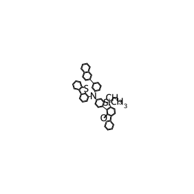 C[Si]1(C)c2cc(N(c3cccc(-c4ccc5ccccc5c4)c3)c3cccc4c3sc3ccccc34)ccc2-c2c1ccc1c2oc2ccccc21